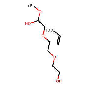 C=CC(=O)O.CCCOC(O)COCCOCCO